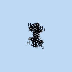 Cc1cccc(C)c1-c1cc(-c2c(C)cccc2C)cc(N(c2ccc(F)cc2F)c2ccc3ccc4c(N(c5cc(-c6c(C)cccc6C)cc(-c6c(C)cccc6C)c5)c5ccc(F)cc5F)ccc5ccc2c3c54)c1